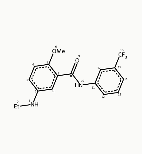 CCNc1ccc(OC)c(C(=O)Nc2cccc(C(F)(F)F)c2)c1